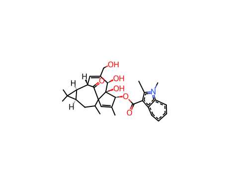 CC1=CC23C(=O)[C@@H](C=C(CO)[C@@H](O)[C@]2(O)[C@H]1OC(=O)c1c(C)n(C)c2ccccc12)[C@H]1[C@@H](CC3C)C1(C)C